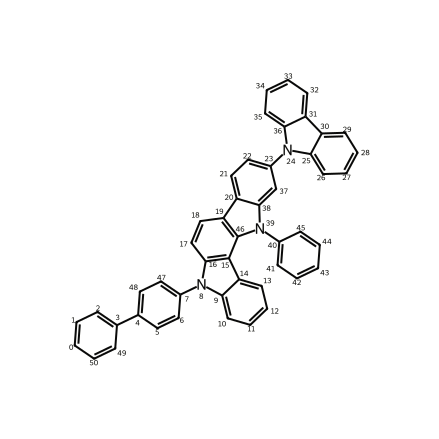 c1ccc(-c2ccc(-n3c4ccccc4c4c3ccc3c5ccc(-n6c7ccccc7c7ccccc76)cc5n(-c5ccccc5)c34)cc2)cc1